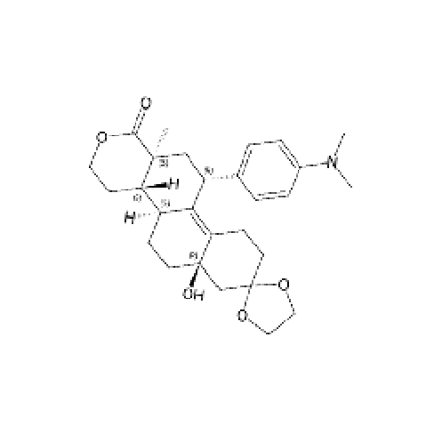 CN(C)c1ccc([C@H]2C[C@]3(C)C(=O)OCC[C@H]3[C@@H]3CC[C@@]4(O)CC5(CCC4=C32)OCCO5)cc1